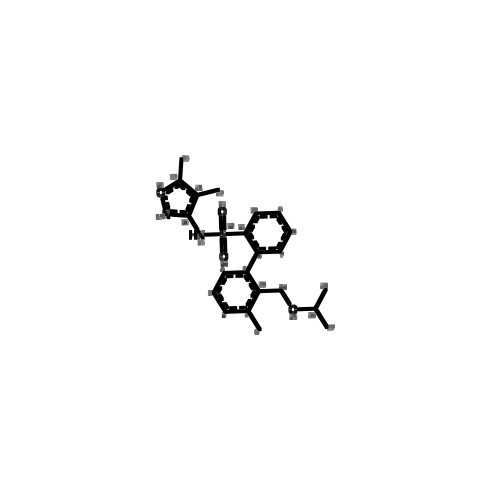 Cc1cccc(-c2ccccc2S(=O)(=O)Nc2noc(C)c2C)c1COC(C)C